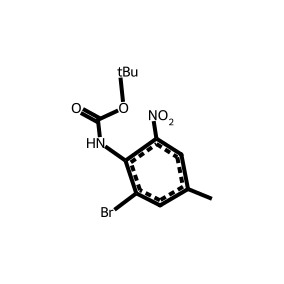 Cc1cc(Br)c(NC(=O)OC(C)(C)C)c([N+](=O)[O-])c1